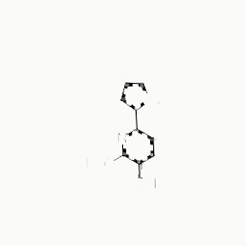 Cc1nc(-c2cccs2)ccc1O